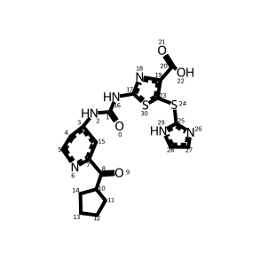 O=C(Nc1ccnc(C(=O)C2CCCC2)c1)Nc1nc(C(=O)O)c(Sc2ncc[nH]2)s1